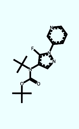 CC(C)(C)OC(=O)N(c1cnn(-c2cccnc2)c1F)C(C)(C)C